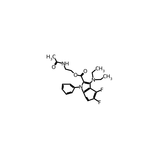 CCN(CC)c1c(C(=O)OCCNC(C)=O)n(-c2ccccc2)c2ccc(F)c(F)c12